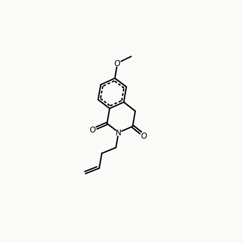 C=CCCN1C(=O)Cc2cc(OC)ccc2C1=O